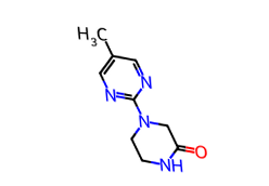 Cc1cnc(N2CCNC(=O)C2)nc1